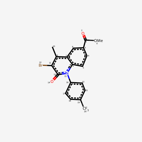 COC(=O)c1ccc2c(c1)c(C)c(Br)c(=O)n2-c1ccc(C(F)(F)F)cc1